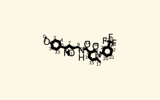 COc1ccc(-c2cc(CNC(=O)c3ccc(C)n(-c4cccc(C(F)(F)F)c4)c3=O)on2)cc1